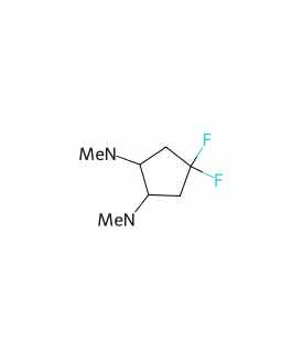 CNC1CC(F)(F)CC1NC